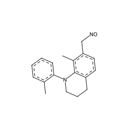 Cc1ccccc1N1CCCc2ccc(CN=O)c(C)c21